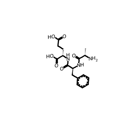 C[C@H](N)C(=O)N[C@@H](Cc1ccccc1)C(=O)N[C@@H](CCC(=O)O)C(=O)O